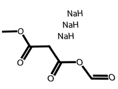 COC(=O)CC(=O)OC=O.[NaH].[NaH].[NaH]